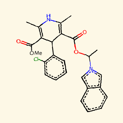 COC(=O)C1=C(C)NC(C)=C(C(=O)OC(C)n2cc3ccccc3c2)C1c1ccccc1Cl